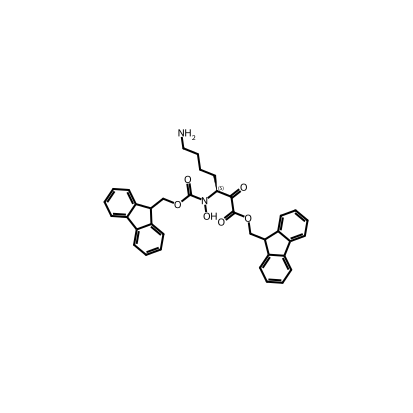 NCCCC[C@@H](C(=O)C(=O)OCC1c2ccccc2-c2ccccc21)N(O)C(=O)OCC1c2ccccc2-c2ccccc21